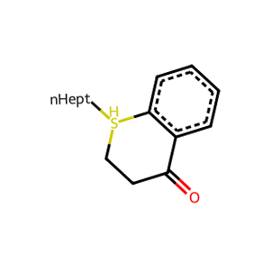 CCCCCCC[SH]1CCC(=O)c2ccccc21